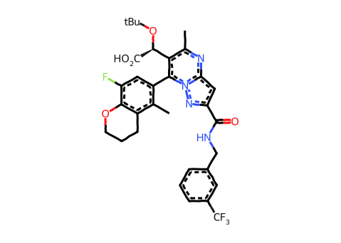 Cc1nc2cc(C(=O)NCc3cccc(C(F)(F)F)c3)nn2c(-c2cc(F)c3c(c2C)CCCO3)c1[C@H](OC(C)(C)C)C(=O)O